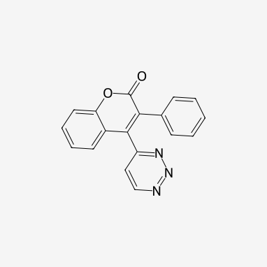 O=c1oc2ccccc2c(-c2ccnnn2)c1-c1ccccc1